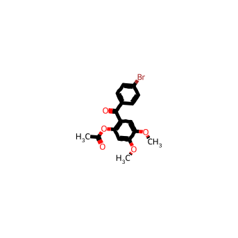 COc1cc(OC(C)=O)c(C(=O)c2ccc(Br)cc2)cc1OC